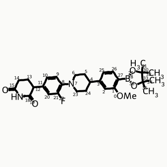 COc1cc(C2CCN(c3ccc(C4CCC(=O)NC4=O)cc3F)CC2)ccc1B1OC(C)(C)C(C)(C)O1